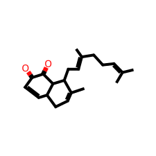 CC(C)=CCC/C(C)=C/CC1C(C)=CCC2C=CC(=O)C(=O)C21